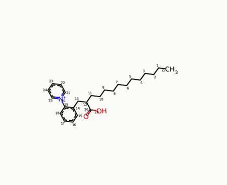 CCCCCCCCCCCCC(Cc1ccccc1-[n+]1ccccc1)C(=O)O